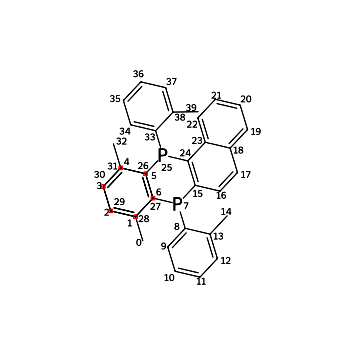 Cc1ccccc1P(c1ccccc1C)c1ccc2ccccc2c1P(c1ccccc1C)c1ccccc1C